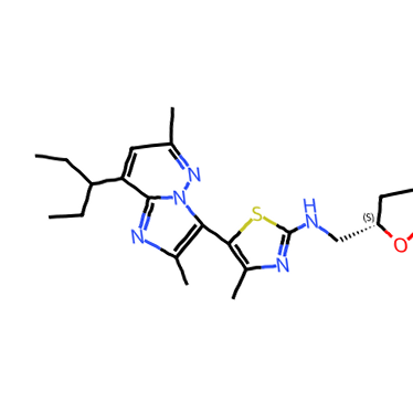 CCC(CC)c1cc(C)nn2c(-c3sc(NC[C@@H]4CCCO4)nc3C)c(C)nc12